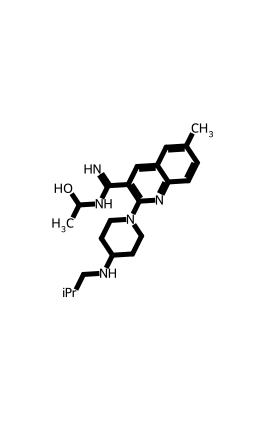 Cc1ccc2nc(N3CCC(NCC(C)C)CC3)c(C(=N)NC(C)O)cc2c1